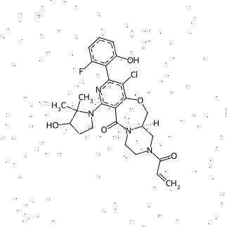 C=CC(=O)N1CCN2C(=O)c3c(N4CCC(O)C4(C)C)nc(-c4c(O)cccc4F)c(Cl)c3OC[C@H]2C1